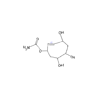 NC(=O)OC1/C=C/C(O)CC(O)C(O)C1